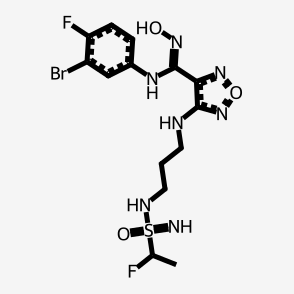 CC(F)S(=N)(=O)NCCCNc1nonc1/C(=N/O)Nc1ccc(F)c(Br)c1